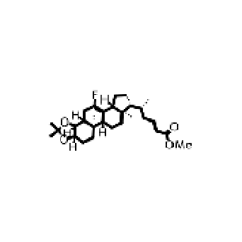 COC(=O)CCC[C@@H](C)[C@H]1CC[C@H]2C3=C(F)C[C@H]4[C@H]5OC(C)(C)O[C@H]5CC[C@]4(C)[C@H]3CC[C@]12C